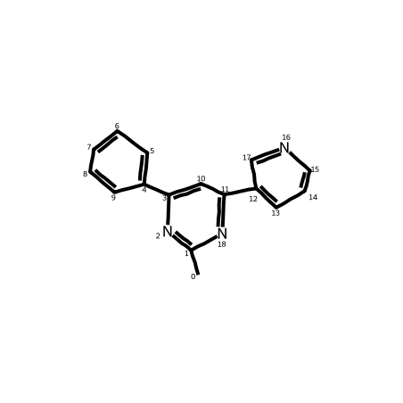 Cc1nc(-c2ccccc2)cc(-c2cccnc2)n1